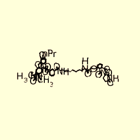 CCCOc1cccc(Oc2cc3c(cc2NS(=O)(=O)c2cccc(C(=O)NCCCCCCCCNC(=O)COc4cccc5c4C(=O)N(C4CCC(=O)NC4=O)C5=O)c2)n(C)c(=O)n3C)c1